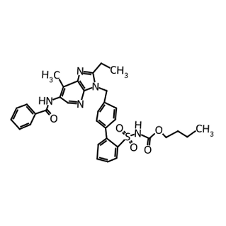 CCCCOC(=O)NS(=O)(=O)c1ccccc1-c1ccc(Cn2c(CC)nc3c(C)c(NC(=O)c4ccccc4)cnc32)cc1